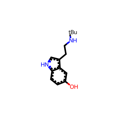 CC(C)(C)NCCc1c[nH]c2ccc(O)cc12